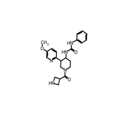 COc1ccc(C2CN(C(=O)C3CNC3)CCC2NC(=O)Nc2ccccc2)nc1